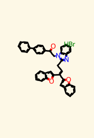 Br.O=C(Cn1c(CC=C(c2cc3ccccc3o2)c2cc3ccccc3o2)nc2ccccc21)c1ccc(-c2ccccc2)cc1